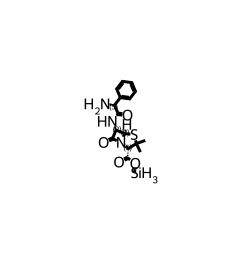 CC1(C)S[C@@H]2[C@H](NC(=O)[C@@H](N)c3ccccc3)C(=O)N2[C@H]1C(=O)O[SiH3]